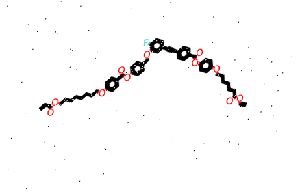 C=COC(=O)CCCCCCOc1ccc(OC(=O)c2ccc(C#Cc3ccc(F)c(OCc4ccc(OC(=O)c5ccc(OCCCCCCCCOC(=O)C=C)cc5)cc4)c3)cc2)cc1